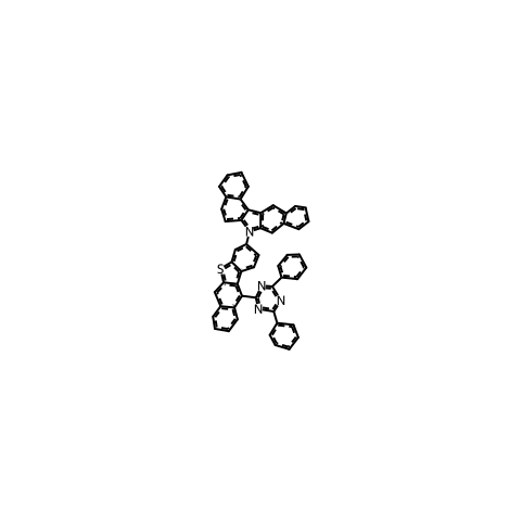 c1ccc(-c2nc(-c3ccccc3)nc(-c3c4ccccc4cc4sc5cc(-n6c7cc8ccccc8cc7c7c8ccccc8ccc76)ccc5c34)n2)cc1